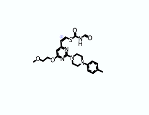 COCCOc1cc(/C=C\SC(=O)NC=O)nc(N2CCN(c3ccc(C)cc3)CC2)n1